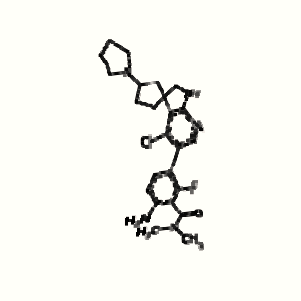 CN(C)C(=O)c1c(N)ccc(-c2cnc3c(c2Cl)C2(CCC(N4CCCC4)C2)CN3)c1F